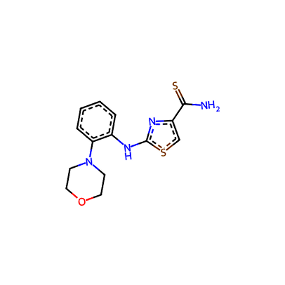 NC(=S)c1csc(Nc2ccccc2N2CCOCC2)n1